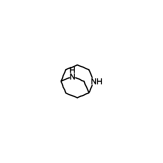 C1CNC2CCC(C1)NC2